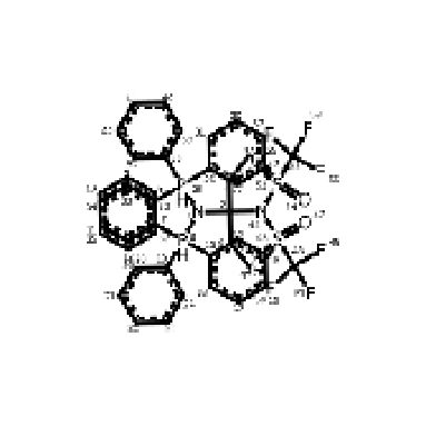 CCC(CC)(N([PH](c1ccccc1)(c1ccccc1)c1ccccc1)[PH](c1ccccc1)(c1ccccc1)c1ccccc1)N(S(=O)(=O)C(F)(F)F)S(=O)(=O)C(F)(F)F